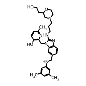 Cc1cc(C)cc(NCc2ccc3nc(NCCCN4CCOC(CCO)C4)n(Cc4nc(C)ccc4O)c3c2)c1